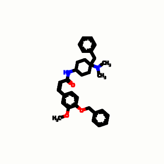 COc1cc(/C=C\C(=O)NC2CCC(Cc3ccccc3)(N(C)C)CC2)ccc1OCc1ccccc1